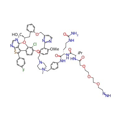 COc1ccccc1-c1nccc(COc2ccccc2C[C@@H](Oc2ncnc3sc(-c4ccc(F)cc4)c(-c4ccc(OCCN5CC[N+](C)(Cc6ccc(NC(=O)[C@H](CCCNC(N)=O)NC(=O)[C@@H](NC(=O)COCCOCCOCCN=N)C(C)C)cc6)CC5)c(Cl)c4C)c23)C(=O)O)n1